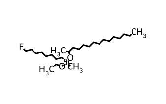 CCCCCCCCCCCCCC(C)O[Si](C)(CCCCCCCCF)OCC